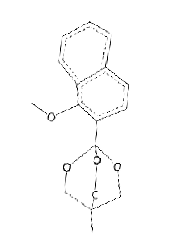 COc1c(C23OCC(C)(CO2)CO3)ccc2ccccc12